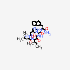 CC[C@H](C)C(NC(=O)[C@H](CC(C)C)NC(=O)Cc1cncnc1)C(=O)C(=O)NCC(=O)N[C@@H](Cc1ccc2ccccc2c1)C(N)=O